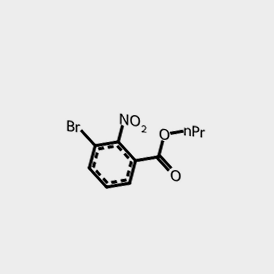 CCCOC(=O)c1cccc(Br)c1[N+](=O)[O-]